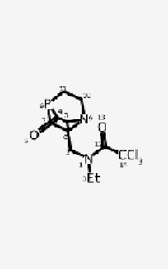 CCN(CC1C(=O)P2CCN1CC2)C(=O)C(Cl)(Cl)Cl